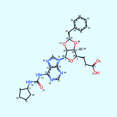 O=C(O)CC[C@H]1O[C@@H](n2cnc3c(NC(=O)NC4CCCC4)ncnc32)C2O[C@@H](Cc3ccccc3)O[C@H]21